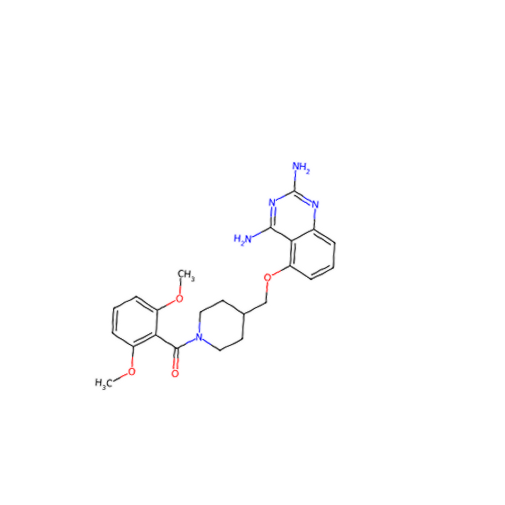 COc1cccc(OC)c1C(=O)N1CCC(COc2cccc3nc(N)nc(N)c23)CC1